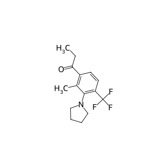 CCC(=O)c1ccc(C(F)(F)F)c(N2CCCC2)c1C